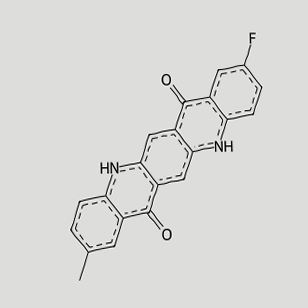 Cc1ccc2[nH]c3cc4c(=O)c5cc(F)ccc5[nH]c4cc3c(=O)c2c1